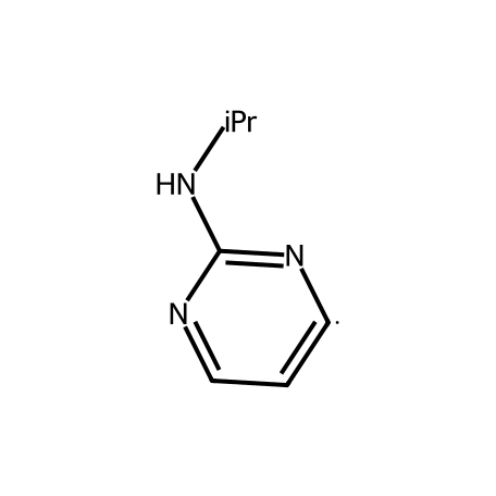 CC(C)Nc1n[c]ccn1